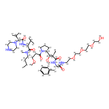 CC[C@H](C)[C@@H](C(CC(=O)N1CCC[C@H]1[C@H](OC)[C@@H](C)C(=O)N[C@@H](Cc1ccccc1)C(=O)NCCOCCOCCOCCO)OC)N(C)C(=O)[C@@H](NC(=O)[C@H](C(C)C)N1CCNCC1)C(C)C